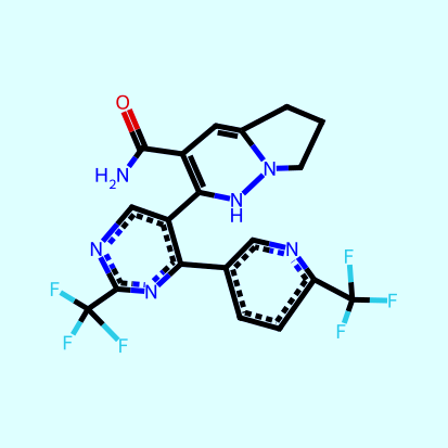 NC(=O)C1=C(c2cnc(C(F)(F)F)nc2-c2ccc(C(F)(F)F)nc2)NN2CCCC2=C1